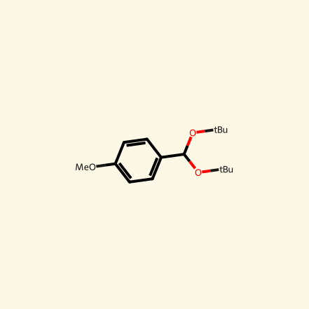 COc1ccc(C(OC(C)(C)C)OC(C)(C)C)cc1